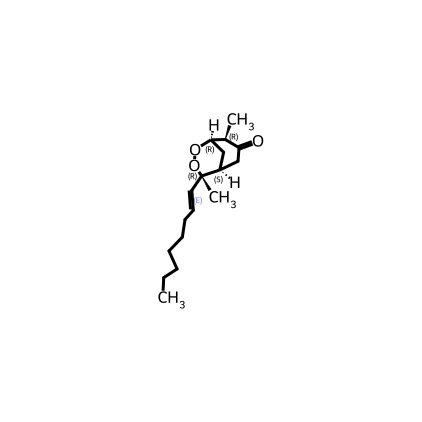 CCCCCC/C=C/[C@]1(C)OO[C@@H]2C[C@H]1CC(=O)[C@@H]2C